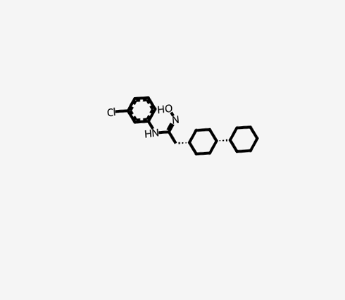 ON=C(C[C@H]1CC[C@@H](C2CCCCC2)CC1)Nc1cccc(Cl)c1